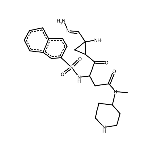 CN(C(=O)CC(NS(=O)(=O)c1ccc2ccccc2c1)C(=O)C1CC1([NH])C=NN)C1CCNCC1